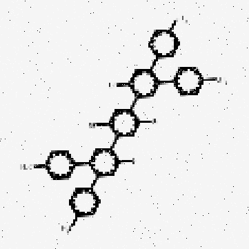 Cc1ccc(-c2cc(Br)c(-c3cc(Br)c(-c4cc(-c5ccc(C)cc5)c(-c5ccc(C)cc5)cc4Br)cc3Br)cc2-c2ccc(C)cc2)cc1